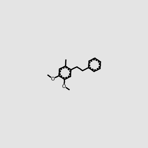 COc1cc(C)c(CCc2ccccc2)cc1OC